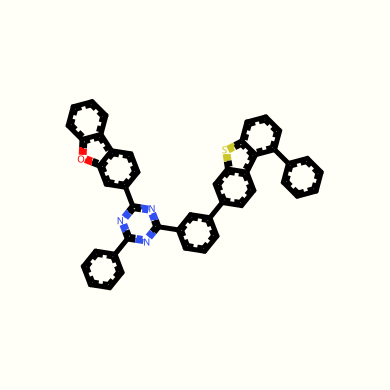 c1ccc(-c2nc(-c3cccc(-c4ccc5c(c4)sc4cccc(-c6ccccc6)c45)c3)nc(-c3ccc4c(c3)oc3ccccc34)n2)cc1